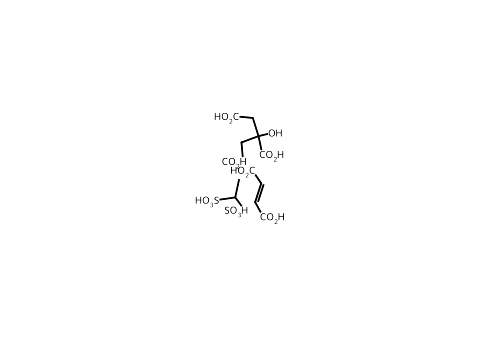 CC(S(=O)(=O)O)S(=O)(=O)O.O=C(O)/C=C/C(=O)O.O=C(O)CC(O)(CC(=O)O)C(=O)O